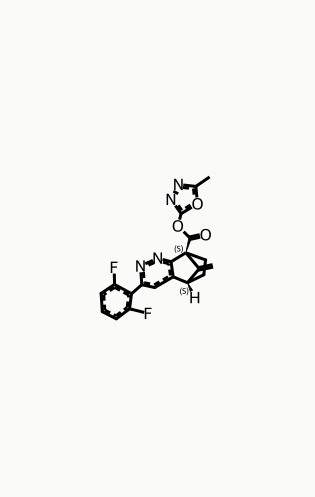 C=C1[C@@H]2CC[C@@]1(C(=O)Oc1nnc(C)o1)c1nnc(-c3c(F)cccc3F)cc12